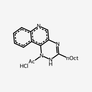 CCCCCCCCC1=Nc2cnc3ccccc3c2N(C(C)=O)N1.Cl